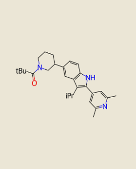 Cc1cc(-c2[nH]c3ccc(C4CCCN(C(=O)C(C)(C)C)C4)cc3c2C(C)C)cc(C)n1